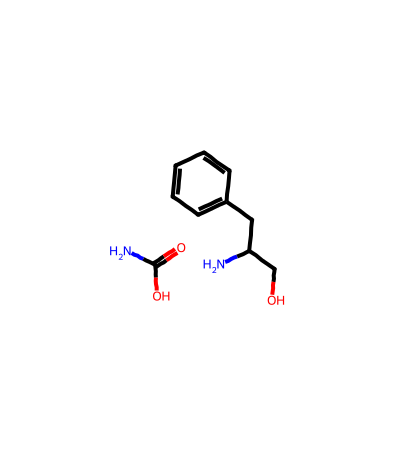 NC(=O)O.NC(CO)Cc1ccccc1